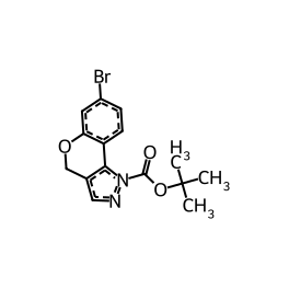 CC(C)(C)OC(=O)n1ncc2c1-c1ccc(Br)cc1OC2